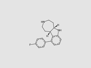 Fc1ccc(-c2cccc3c2[C@@H]2CCNCC[C@@H]2N3)cc1